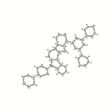 c1ccc(-c2ccc(-n3c4ccccc4c4c5oc6c(-c7cc(-c8ccccc8)nc(-c8ccccc8)n7)cccc6c5ccc43)cc2)cc1